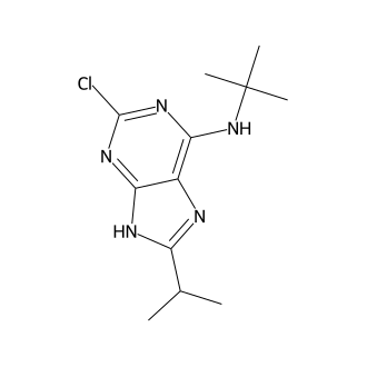 CC(C)c1nc2c(NC(C)(C)C)nc(Cl)nc2[nH]1